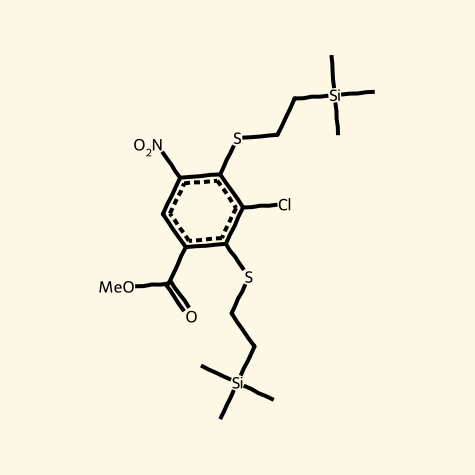 COC(=O)c1cc([N+](=O)[O-])c(SCC[Si](C)(C)C)c(Cl)c1SCC[Si](C)(C)C